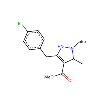 CCCCN1NC(Cc2ccc(Br)cc2)=C(C(=O)OC)C1C